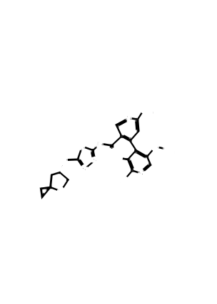 COc1cnc(C)c(F)c1-c1cc(C)ncc1C(=O)Nc1nnc(O[C@@H]2COC3(CC3)C2)s1